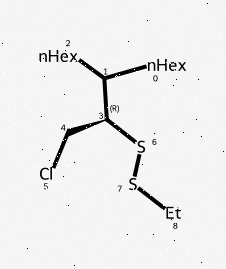 CCCCCCC(CCCCCC)[C@H](CCl)SSCC